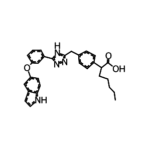 CCCCCC(C(=O)O)c1ccc(Cc2nnc(-c3cccc(Oc4ccc5[nH]ccc5c4)c3)[nH]2)cc1